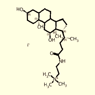 C[C@H](CCC(=O)NCC[N+](C)(C)C)[C@H]1CCC2C3CCC4C[C@H](O)CC[C@]4(C)C3C[C@H](O)[C@@]21C.[I-]